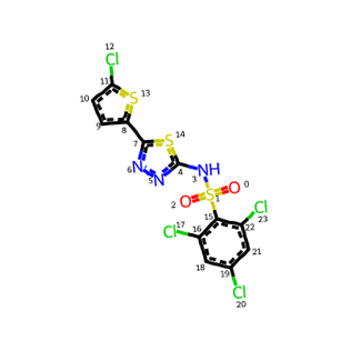 O=S(=O)(Nc1nnc(-c2ccc(Cl)s2)s1)c1c(Cl)cc(Cl)cc1Cl